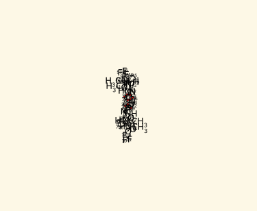 CC(C)[C@H](NC(=O)OCC(F)(F)F)C(=O)N1[C@H](c2nc3cc(-c4cc5ccc4CCc4ccc(c(-c6ccc7[nH]c([C@@H]8C[C@@H]9CCCC[C@@H]9N8C(=O)[C@@H](OCC(F)(F)F)C(C)C)nc7c6)c4)CC5)ccc3[nH]2)C[C@@H]2CCCC[C@@H]21